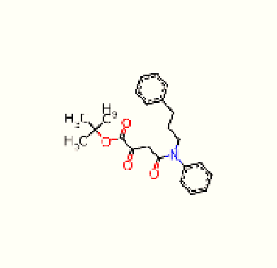 CC(C)(C)OC(=O)C(=O)CC(=O)N(CCCc1ccccc1)c1ccccc1